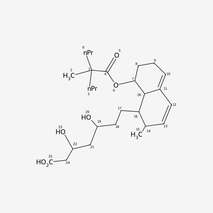 CCCC(C)(CCC)C(=O)OC1CCC=C2C=CC(C)C(CCC(O)CC(O)CC(=O)O)C21